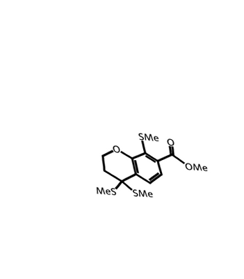 COC(=O)c1ccc2c(c1SC)OCCC2(SC)SC